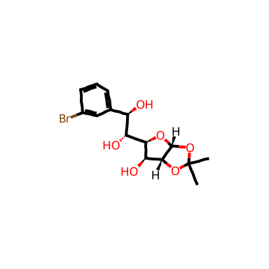 CC1(C)O[C@H]2O[C@H]([C@H](O)[C@H](O)c3cccc(Br)c3)[C@H](O)[C@H]2O1